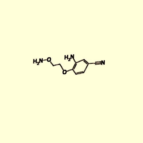 N#Cc1ccc(OCCON)c(N)c1